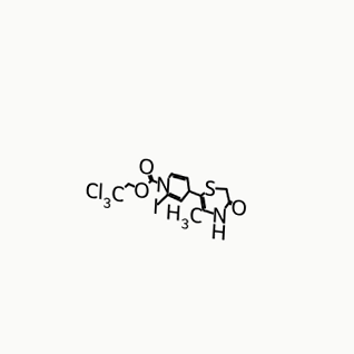 CC1=C(C2C=CN(C(=O)OCC(Cl)(Cl)Cl)C(I)=C2)SCC(=O)N1